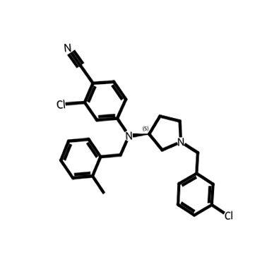 Cc1ccccc1CN(c1ccc(C#N)c(Cl)c1)[C@H]1CCN(Cc2cccc(Cl)c2)C1